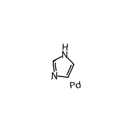 [Pd].c1c[nH]cn1